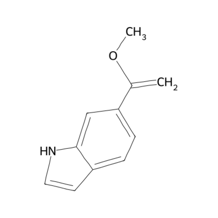 C=C(OC)c1ccc2cc[nH]c2c1